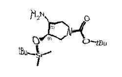 CC(C)(C)OC(=O)N1C[C@H](N)[C@H](O[Si](C)(C)C(C)(C)C)C1